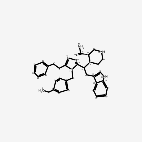 CCc1ccc(Cn2c(CCc3ccccc3)nnc2C(Cc2c[nH]c3ccccc23)N2CCNC[C@@H]2C(N)=O)cc1